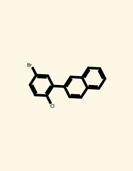 Clc1ccc(Br)cc1-c1ccc2ccccc2c1